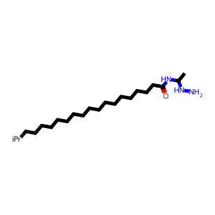 CC(C)CCCCCCCCCCCCCCCCCC(=O)NC(C)NN